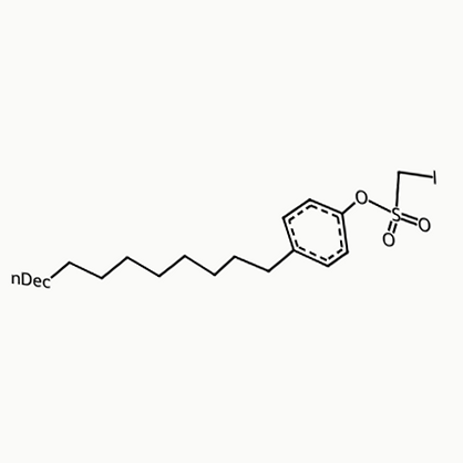 CCCCCCCCCCCCCCCCCCc1ccc(OS(=O)(=O)CI)cc1